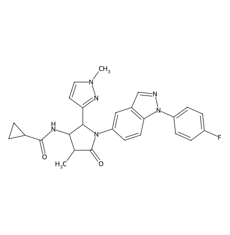 CC1C(=O)N(c2ccc3c(cnn3-c3ccc(F)cc3)c2)C(c2ccn(C)n2)C1NC(=O)C1CC1